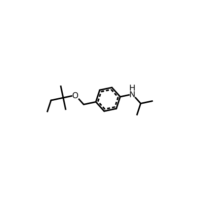 CCC(C)(C)OCc1ccc(NC(C)C)cc1